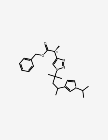 CC(CC(C)(C)n1cc([C@H](C)C(=O)OCc2ccccc2)nn1)c1ccn(C(C)C)c1